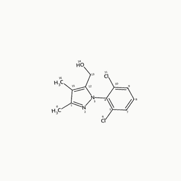 Cc1nn(-c2c(Cl)cccc2Cl)c(CO)c1C